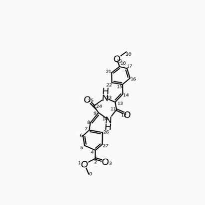 COC(=O)c1ccc(C=c2[nH]c(=O)c(=Cc3ccc(OC)cc3)[nH]c2=O)cc1